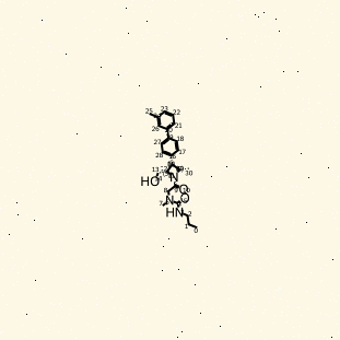 CCCNC(=O)N(C)CC(=O)N1[C@H](CO)[C@H](c2ccc(-c3cccc(C)c3)cc2)[C@@H]1C